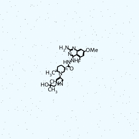 COc1cc(F)c2c(NNC(=O)[C@@H]3CC[C@H](C)N(c4cnn(CC(C)(C)O)c4)C3)nc(N)nc2c1